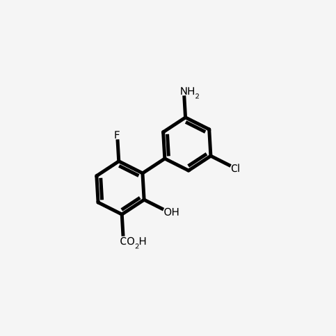 Nc1cc(Cl)cc(-c2c(F)ccc(C(=O)O)c2O)c1